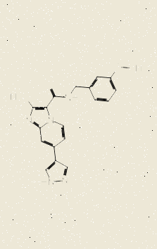 COc1cccc(CNC(=O)c2c(C)nc3cc(-c4cn[nH]c4)ccn23)c1